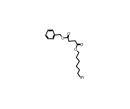 CC(C)CCCCCCOC(=O)CCC(=O)OCc1ccccc1